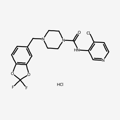 Cl.O=C(Nc1cnccc1Cl)N1CCN(Cc2ccc3c(c2)OC(F)(F)O3)CC1